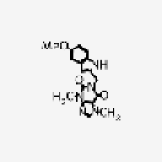 COc1ccc2[nH]c(Cn3c(=O)c4c(ncn4C)n(C)c3=O)cc2c1